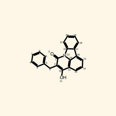 O=c1c(Cc2ccccc2)c(O)c2cccc3c4ccccc4n1c23